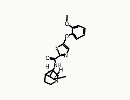 COc1ccccc1Oc1cnc(C(=O)N[C@@H]2C3CCN(CC3)[C@H]2C)s1